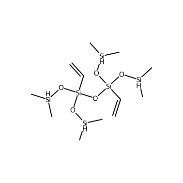 C=C[Si](O[SiH](C)C)(O[SiH](C)C)O[Si](C=C)(O[SiH](C)C)O[SiH](C)C